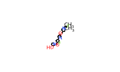 CC(C)(F)CN1CCC(COc2ccc(-c3ccc(C(=O)N4CCC[C@@H](O)C4)c(F)c3)nc2)CC1